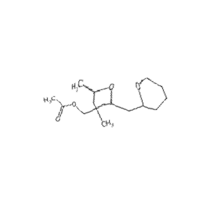 CC(=O)OCC1(C)C(C)OC1CC1CCCCO1